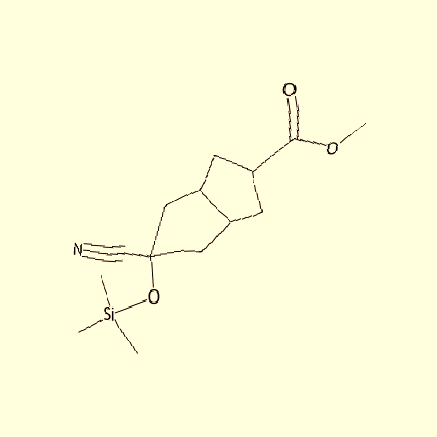 COC(=O)C1CC2CC(C#N)(O[Si](C)(C)C)CC2C1